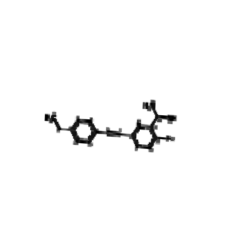 CCc1ccc(C#Cc2ccc(F)c(C(=N)N)n2)cc1